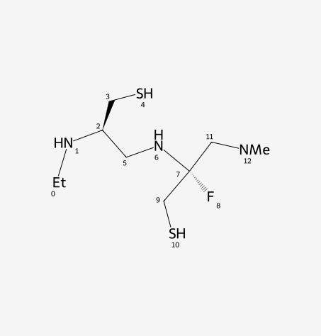 CCN[C@@H](CS)CN[C@](F)(CS)CNC